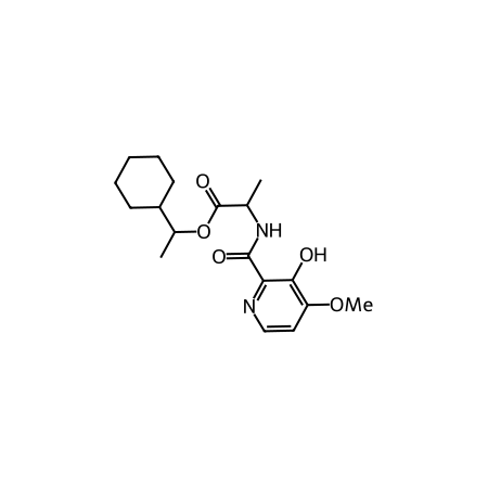 COc1ccnc(C(=O)NC(C)C(=O)OC(C)C2CCCCC2)c1O